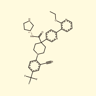 CCOc1ncccc1-c1ccc(C2(C(=O)N[C@@H]3CCNC3)CCN(c3ccc(C(F)(F)F)cc3C#N)CC2)cn1